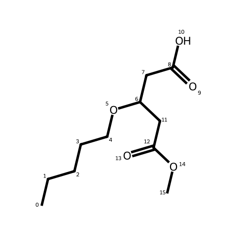 CCCCCOC(CC(=O)O)CC(=O)OC